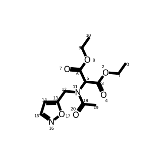 CCOC(=O)C(C(=O)OCC)N(Cc1ccno1)C(C)=O